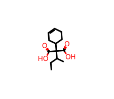 CCC(C)C(C(=O)O)(C(=O)O)C1CC=CCC1